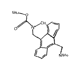 CNCc1c2ccccc2c(CN(C)C(=O)OC(C)(C)C)c2ccccc12